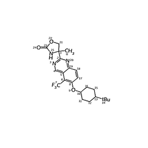 CC1(c2ncc3c(C(F)(F)F)c(OC4CCC(C(C)(C)C)CC4)ccc3n2)COC(=O)N1